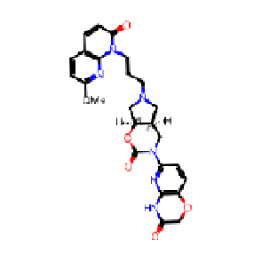 COc1ccc2ccc(=O)n(CCCN3C[C@H]4CN(c5ccc6c(n5)NC(=O)CO6)C(=O)O[C@H]4C3)c2n1